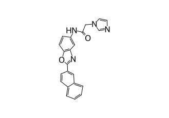 O=C(Cn1ccnc1)Nc1ccc2oc(-c3ccc4ccccc4c3)nc2c1